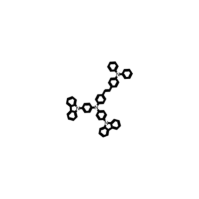 C(=Cc1ccc(N(c2ccc(-n3c4ccccc4c4ccccc43)cc2)c2ccc(-n3c4ccccc4c4ccccc43)cc2)cc1)c1ccc(N(c2ccccc2)c2ccccc2)cc1